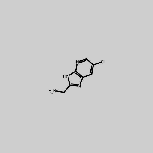 NCc1nc2cc(Cl)cnc2[nH]1